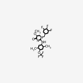 COc1cn(Cc2cc(F)c(F)c(F)c2)c(Nc2cc(C)c(OC(F)(F)F)cc2C)nc1=O